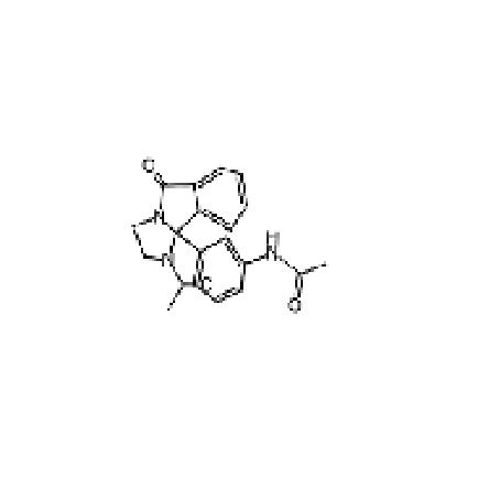 CC(=O)Nc1cccc(C23c4ccccc4C(=O)N2CCN3C(C)=O)c1